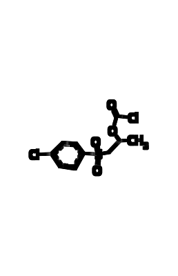 CC(CS(=O)(=O)c1ccc(Cl)cc1)OC(=O)Cl